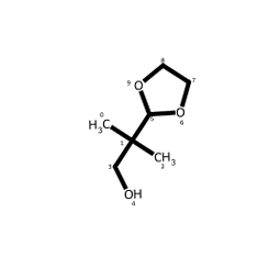 CC(C)(CO)C1OCCO1